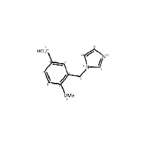 COc1ccc(C(=O)O)cc1Cn1ccnc1